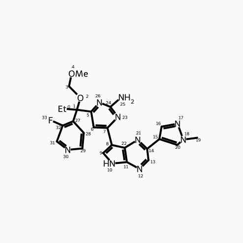 CCC(OCOC)(c1cc(-c2c[nH]c3ncc(-c4cnn(C)c4)nc23)nc(N)n1)c1ccncc1F